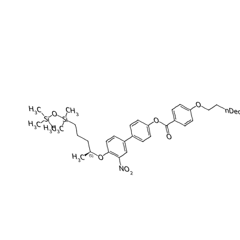 CCCCCCCCCCCCOc1ccc(C(=O)Oc2ccc(-c3ccc(O[C@@H](C)CCC[Si](C)(C)O[Si](C)(C)C)c([N+](=O)[O-])c3)cc2)cc1